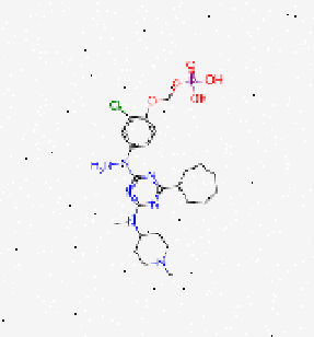 CN1CCC(N(C)c2nc(C3CCCCCC3)nc(N(N)c3ccc(OCOP(=O)(O)O)c(Cl)c3)n2)CC1